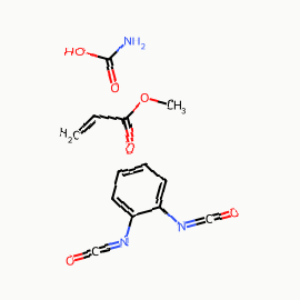 C=CC(=O)OC.NC(=O)O.O=C=Nc1ccccc1N=C=O